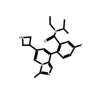 CCN(C(=O)c1cc(F)ccc1-c1cc(C2CNC2)cn2c(C)ncc12)C(C)C